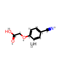 N#Cc1ccc(OCC(=O)O)cc1.[LiH]